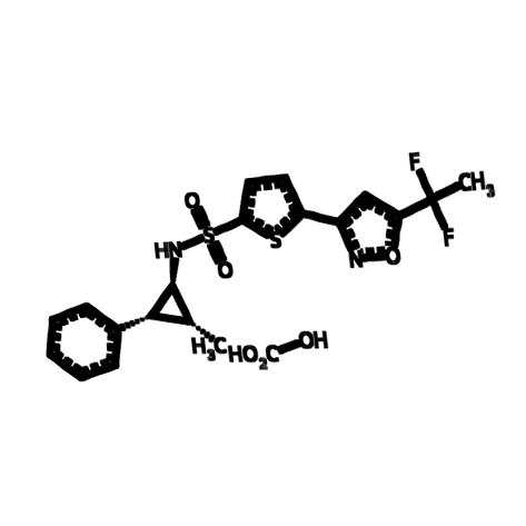 C[C@H]1[C@H](NS(=O)(=O)c2ccc(-c3cc(C(C)(F)F)on3)s2)[C@H]1c1ccccc1.O=C(O)O